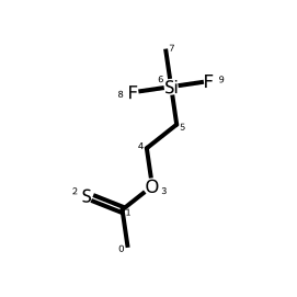 CC(=S)OCC[Si](C)(F)F